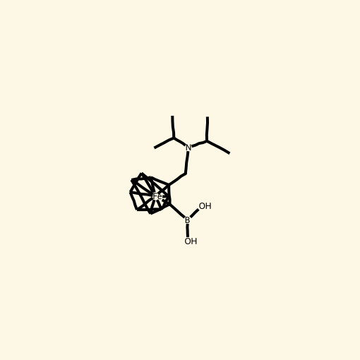 CC(C)N(C[C]12[CH]3[CH]4[CH]5[C]1(B(O)O)[Fe]43521678[CH]2[CH]1[CH]6[CH]7[CH]28)C(C)C